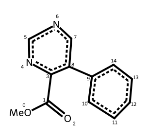 COC(=O)c1ncncc1-c1ccccc1